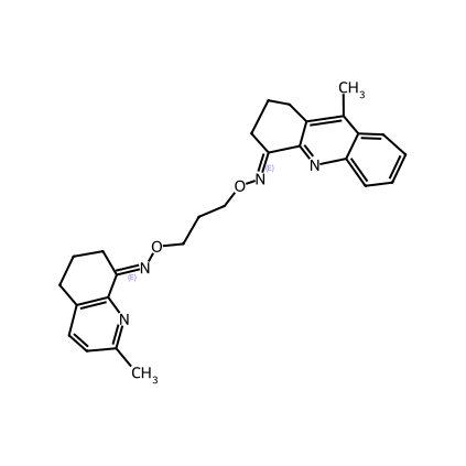 Cc1ccc2c(n1)/C(=N/OCCCO/N=C1\CCCc3c1nc1ccccc1c3C)CCC2